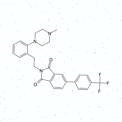 CN1CCN(c2ccccc2CCN2C(=O)c3ccc(-c4ccc(C(F)(F)F)cc4)cc3C2=O)CC1